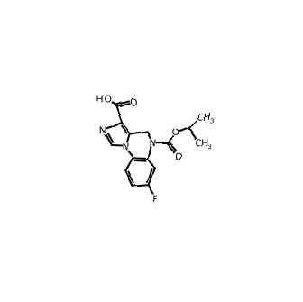 CC(C)OC(=O)N1Cc2c(C(=O)O)ncn2-c2ccc(F)cc21